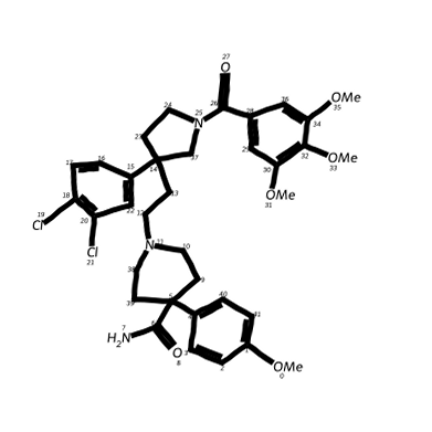 COc1ccc(C2(C(N)=O)CCN(CCC3(c4ccc(Cl)c(Cl)c4)CCN(C(=O)c4cc(OC)c(OC)c(OC)c4)C3)CC2)cc1